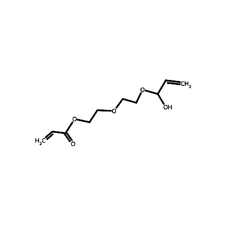 C=CC(=O)OCCOCCOC(O)C=C